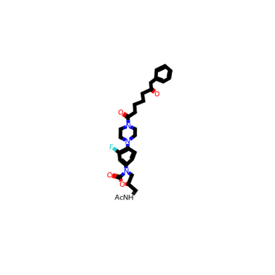 CC(=O)NCC1CN(c2ccc(N3CCN(C(=O)CCCCC(=O)Cc4ccccc4)CC3)c(F)c2)C(=O)O1